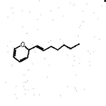 CCCCCC=CC1C=CC=CO1